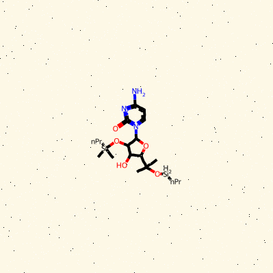 CCC[SiH2]OC(C)(C)C1OC(n2ccc(N)nc2=O)C(O[Si](C)(C)CCC)C1O